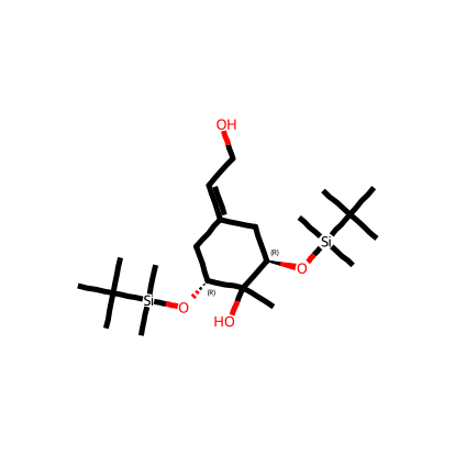 CC1(O)[C@H](O[Si](C)(C)C(C)(C)C)CC(=CCO)C[C@H]1O[Si](C)(C)C(C)(C)C